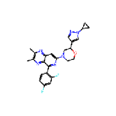 Cc1nc2cc(N3CCOC(c4cnn(C5CC5)c4)C3)nc(-c3ccc(F)cc3F)c2nc1C